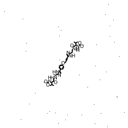 COC(=O)N[C@H](C(=O)CN[C@@H](C)c1ncc(-c2ccc(OCC#Cc3cnc([C@@H](C)CNC(=O)[C@@H](NC(=O)OC)C(C)C)[nH]3)cc2)[nH]1)C(C)C